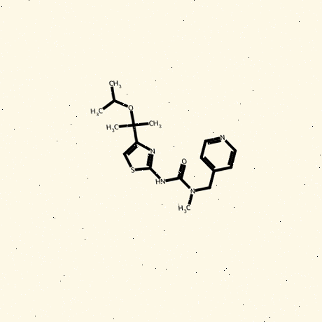 CC(C)OC(C)(C)c1csc(NC(=O)N(C)Cc2ccncc2)n1